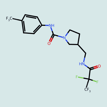 O=C(Nc1ccc(C(F)(F)F)cc1)N1CCC(CNC(=O)C(F)(F)C(F)(F)F)C1